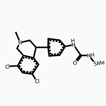 CSNC(=O)Nc1ccc(C2CN(C)Cc3c(Cl)cc(Cl)cc32)cc1